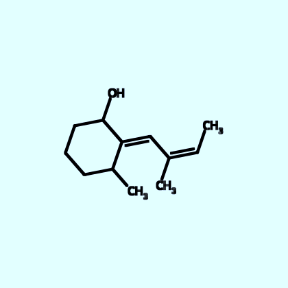 C/C=C(C)\C=C1/C(C)CCCC1O